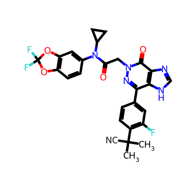 CC(C)(C#N)c1ccc(-c2nn(CC(=O)N(c3ccc4c(c3)OC(F)(F)O4)C3CC3)c(=O)c3nc[nH]c23)cc1F